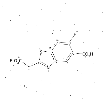 CCOC(=O)Cc1nc2cc(C(=O)O)c(F)cc2s1